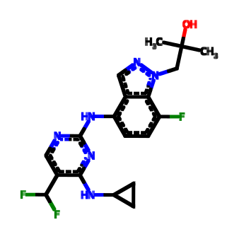 CC(C)(O)Cn1ncc2c(Nc3ncc(C(F)F)c(NC4CC4)n3)ccc(F)c21